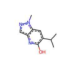 CC(C)c1cc2c(cnn2C)nc1O